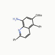 COc1cc(N)c2nc(C(C)C)ccc2c1C(C)C